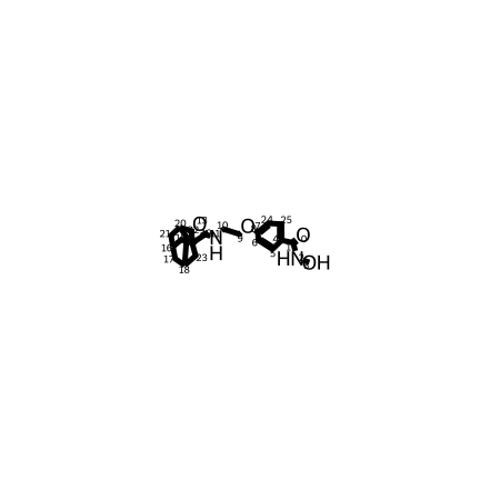 O=C(NO)c1ccc(OCCNC(=O)C23CC4CC(CC(C4)C2)C3)cc1